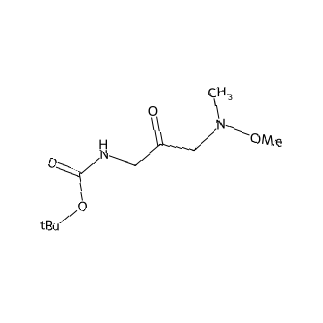 CON(C)CC(=O)CNC(=O)OC(C)(C)C